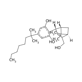 CCCCCCC(C)(C)c1cc(O)c([C@H]2C=C(CO)[C@@H]3C[C@@H]2C3(C)C)c(O)c1